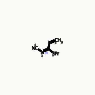 C=C/C(=N\C#N)C(C)C